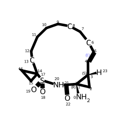 N[C@]12C[C@H]1/C=C/CCCCCCCCC1(CC1)S(=O)(=O)NC2=O